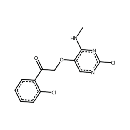 CNc1nc(Cl)ncc1OCC(=O)c1ccccc1Cl